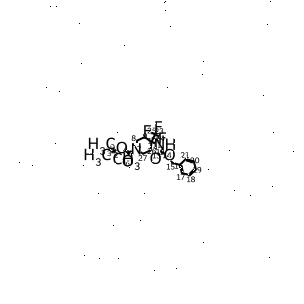 CC(C)(C)OC(=O)N1CCC(NC(=O)OCc2ccccc2)(C(F)(F)F)CC1